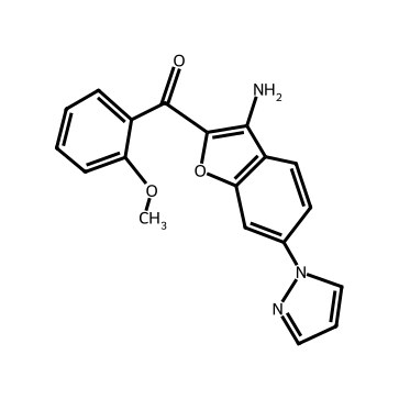 COc1ccccc1C(=O)c1oc2cc(-n3cccn3)ccc2c1N